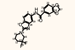 O=C(Nc1ccc2oc(N3CCCC(F)(F)C3)nc2c1)c1ccc2c(c1)OCO2